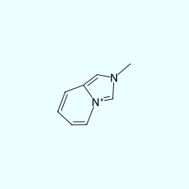 Cn1cc2cccc[n+]2c1